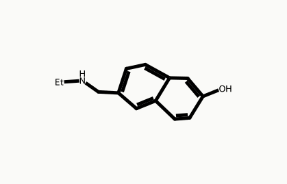 CCNCc1ccc2cc(O)ccc2c1